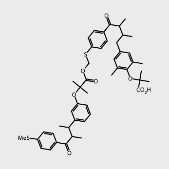 CSc1ccc(C(=O)C(C)C(C)c2cccc(OC(C)(C)C(=O)OCSc3ccc(C(=O)C(C)C(C)Cc4cc(C)c(OC(C)(C)C(=O)O)c(C)c4)cc3)c2)cc1